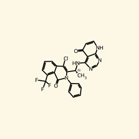 C[C@H](Nc1ncnc2[nH]ccc(=O)c12)c1c(Cl)c2cccc(C(F)(F)F)c2c(=O)n1-c1ccccc1